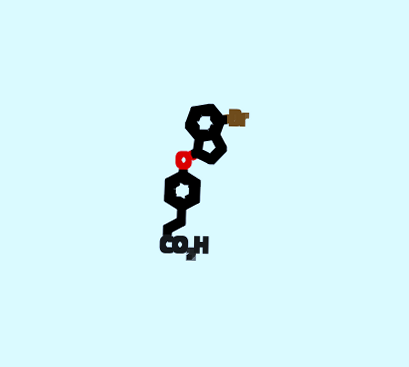 O=C(O)CCc1ccc(OC2CCc3c(Br)cccc32)cc1